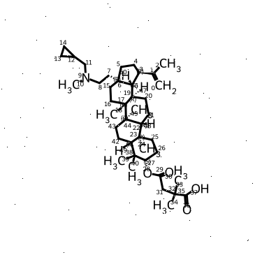 C=C(C)[C@@H]1CC[C@]2(CCN(C)CC3CC3)CC[C@]3(C)[C@H](CC[C@@H]4[C@@]5(C)CC[C@H](OC(=O)CC(C)(C)C(=O)O)C(C)(C)[C@@H]5CC[C@]43C)[C@@H]12